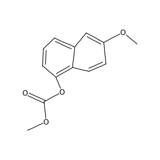 COC(=O)Oc1cccc2cc(OC)ccc12